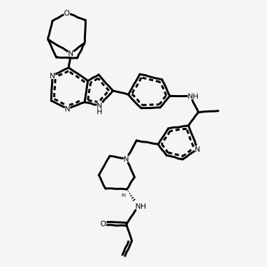 C=CC(=O)N[C@@H]1CCCN(Cc2ccnc(C(C)Nc3ccc(-c4cc5c(N6C7CCC6COC7)ncnc5[nH]4)cc3)c2)C1